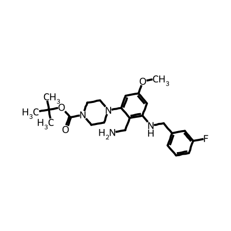 COc1cc(NCc2cccc(F)c2)c(CN)c(N2CCN(C(=O)OC(C)(C)C)CC2)c1